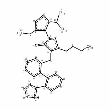 CCCCc1cn(-c2c(CC)ccn2C(C)C)c(=O)n1Cc1cnccc1-c1ccccc1-c1nnn[nH]1